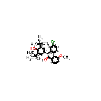 COc1cccc(C(=O)C(c2cccc(Br)c2)c2cc(C(C)(C)C)c(O)c(C(C)(C)C)c2)c1